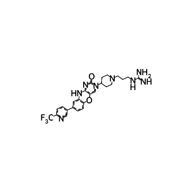 N=C(N)NCCCN1CCC(n2cc3c(nc2=O)Nc2cc(-c4ccc(C(F)(F)F)nc4)ccc2O3)CC1